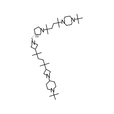 CC(C)(CCC(C)(C)C1CN(C2CCN(C(C)(C)C)CC2)C1)C1CN(C[C@@H]2CCN(C(C)(C)CCC(C)(C)N3CCN(C(C)(C)C)CC3)C2)C1